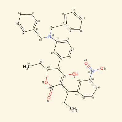 CCC(C1=C(O)C(c2cccc(N(Cc3ccccc3)Cc3ccccc3)c2)C(CC)OC1=O)c1cccc([N+](=O)[O-])c1